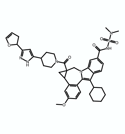 COc1ccc2c(c1)C1CC1(C(=O)N1CCC(c3cc(C4CC=CO4)n[nH]3)CC1)Cn1c-2c(C2CCCCC2)c2ccc(C(=O)NS(=O)(=O)N(C)C)cc21